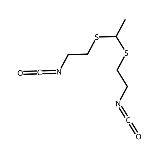 CC(SCCN=C=O)SCCN=C=O